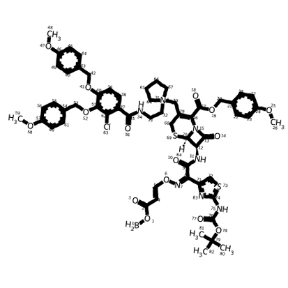 BOC(=O)/C=C/O/N=C(\C(=O)N[C@@H]1C(=O)N2C(C(=O)OCc3ccc(OC)cc3)=C(C[N+]3(CCNC(=O)c4ccc(OCc5ccc(OC)cc5)c(OCc5ccc(OC)cc5)c4Cl)CCCC3)CS[C@H]12)c1csc(NC(=O)OC(C)(C)C)n1